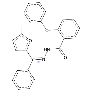 Cc1ccc(/C(=N\NC(=O)c2ccccc2Oc2ccccc2)c2ccccn2)o1